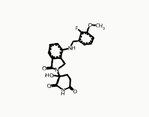 COc1cccc(CNc2cccc3c2CN(C2(O)CCC(=O)NC2=O)C3=O)c1F